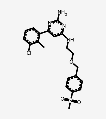 Cc1c(Cl)cccc1-c1cc(NCCOCc2ccc(S(C)(=O)=O)cc2)nc(N)n1